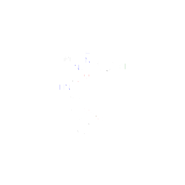 CC(C)N(CC(=O)Nc1ccc(-c2ccccc2S(C)(=O)=O)cc1F)C(=O)Nc1ccc(Cl)cc1